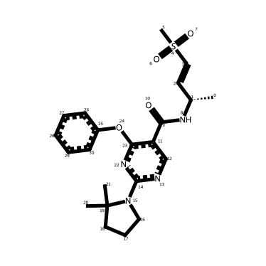 C[C@@H](/C=C/S(C)(=O)=O)NC(=O)c1cnc(N2CCCC2(C)C)nc1Oc1ccccc1